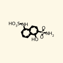 NS(=O)(=O)c1ccc2c(NS(=O)(=O)O)cccc2c1O